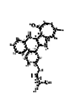 Cc1ccc(=O)c2c(Nc3ccccc3)c(-c3ccnc(CN[SH](=O)=O)c3)[nH]c2c1